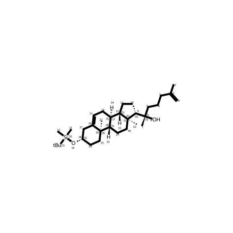 C=C(C)CCC[C@](C)(O)[C@H]1CC[C@H]2[C@@H]3CC=C4C[C@@H](O[Si](C)(C)C(C)(C)C)CC[C@]4(C)[C@H]3CC[C@@]21C